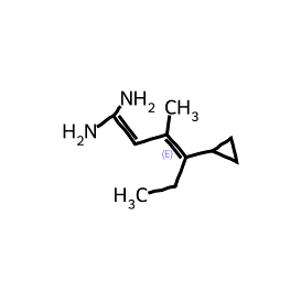 CC/C(=C(/C)C=C(N)N)C1CC1